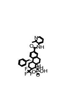 Cc1ncccc1NC(=O)c1ccc2c(c1)CC[C@@H]1C[C@@](OP(=O)(O)O)(C(F)(F)F)CC[C@@]21Cc1ccccc1